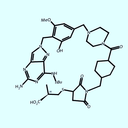 CCCCNc1nc(N)nc2cn(Cc3c(O)cc(CN4CCN(C(=O)C5CCC(CN6C(=O)CC(SC[C@H](C)C(=O)O)C6=O)CC5)CC4)cc3OC)nc12